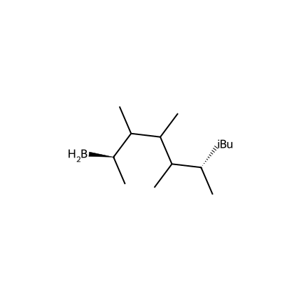 B[C@H](C)C(C)C(C)C(C)[C@@H](C)C(C)CC